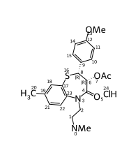 CNCCN1C(=O)[C@@H](OC(C)=O)[C@@H](c2ccc(OC)cc2)Sc2cc(C)ccc21.Cl